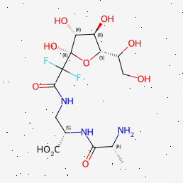 C[C@@H](N)C(=O)N[C@@H](CNC(=O)C(F)(F)[C@]1(O)O[C@@H](C(O)CO)[C@H](O)[C@H]1O)C(=O)O